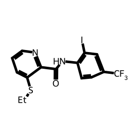 CCSc1cccnc1C(=O)Nc1ccc(C(F)(F)F)cc1I